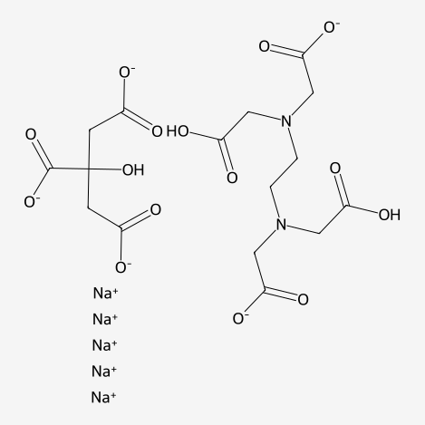 O=C([O-])CC(O)(CC(=O)[O-])C(=O)[O-].O=C([O-])CN(CCN(CC(=O)[O-])CC(=O)O)CC(=O)O.[Na+].[Na+].[Na+].[Na+].[Na+]